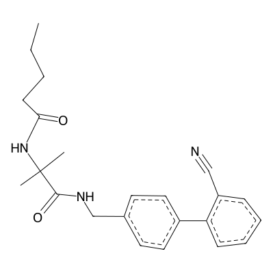 CCCCC(=O)NC(C)(C)C(=O)NCc1ccc(-c2ccccc2C#N)cc1